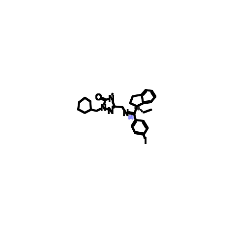 CC[C@]1(/C(=N\Cc2nn(CC3CCCCC3)c(=O)n2C)c2ccc(I)cc2)CCc2ccccc21